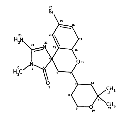 CN1C(=O)C2(CC(C3CCOC(C)(C)C3)OC3CC=C(Br)C=C32)N=C1N